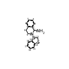 NC1c2ccccc2CCN1N1CSc2ccccc21